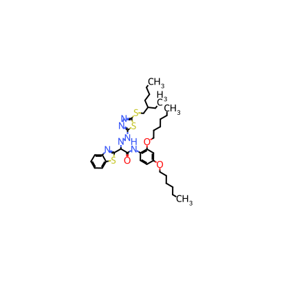 CCCCCCOc1ccc(NC(=O)C(N=Nc2nnc(SCC(CC)CCCC)s2)c2nc3ccccc3s2)c(OCCCCCC)c1